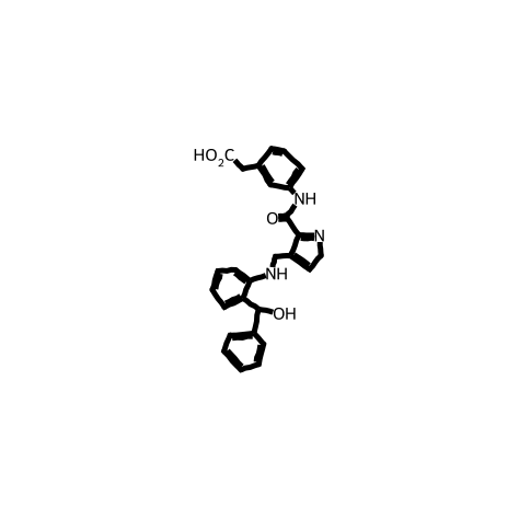 O=C(O)Cc1cccc(NC(=O)C2=NCC=C2CNc2ccccc2C(O)c2ccccc2)c1